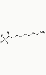 CCOCCCCCC(=O)C(F)(F)F